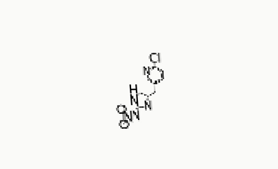 O=[N+]([O-])N=C1N=C(Cc2ccc(Cl)nc2)CN1